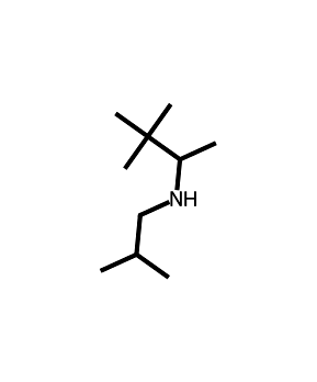 CC(C)CNC(C)C(C)(C)C